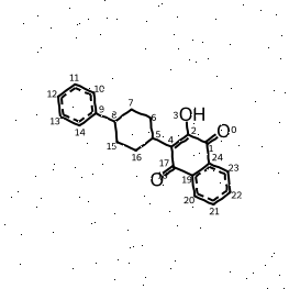 O=C1C(O)=C(C2CCC(c3ccccc3)CC2)C(=O)c2ccccc21